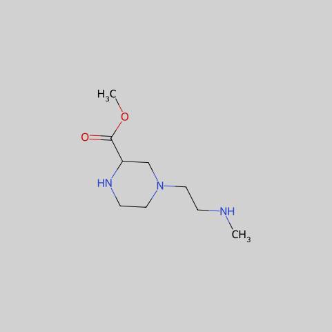 CNCCN1CCNC(C(=O)OC)C1